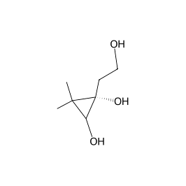 CC1(C)C(O)[C@]1(O)CCO